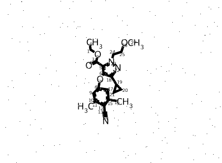 CCOC(=O)c1c(Oc2cc(C)c(C#N)c(C)c2)c(C2CC2)nn1CCOC